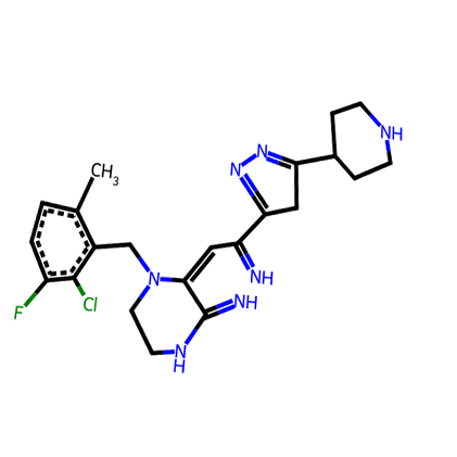 Cc1ccc(F)c(Cl)c1CN1CCNC(=N)/C1=C\C(=N)C1=NN=C(C2CCNCC2)C1